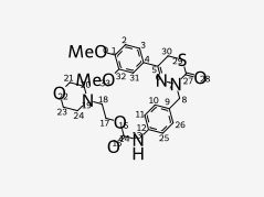 COc1ccc(C2=NN(Cc3ccc(NC(=O)OCCN4CCOCC4)cc3)C(=O)SC2)cc1OC